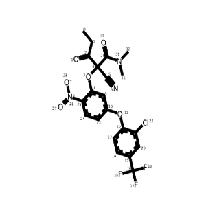 CCC(=O)C(C#N)(Oc1cc(Oc2ccc(C(F)(F)F)cc2Cl)ccc1[N+](=O)[O-])C(=O)N(C)C